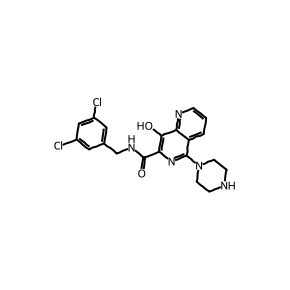 O=C(NCc1cc(Cl)cc(Cl)c1)c1nc(N2CCNCC2)c2cccnc2c1O